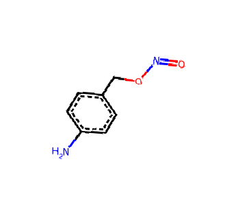 Nc1ccc(CON=O)cc1